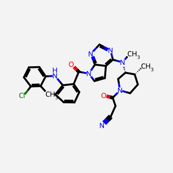 Cc1c(Cl)cccc1Nc1ccccc1C(=O)n1ccc2c(N(C)[C@H]3CN(C(=O)CC#N)CC[C@H]3C)ncnc21